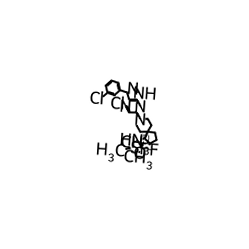 CC(C)(C)[S+]([O-])N[C@H]1C(F)(F)CCC12CCN(c1cnc3c(-c4cccc(Cl)c4Cl)n[nH]c3n1)CC2